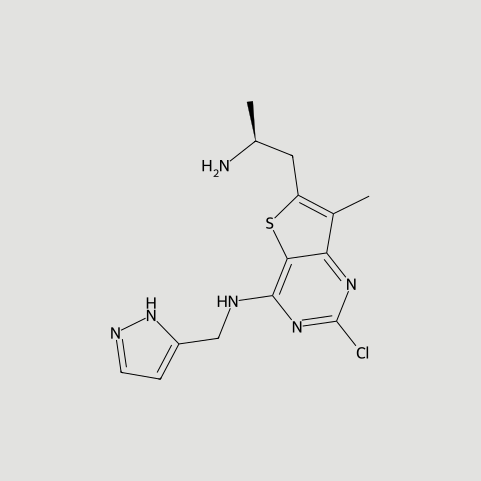 Cc1c(C[C@H](C)N)sc2c(NCc3ccn[nH]3)nc(Cl)nc12